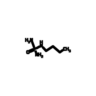 CCCCNP(N)(N)=O